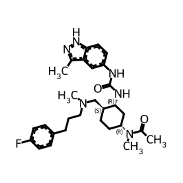 CC(=O)N(C)[C@@H]1CC[C@@H](CN(C)CCCc2ccc(F)cc2)[C@H](NC(=O)Nc2ccc3[nH]nc(C)c3c2)C1